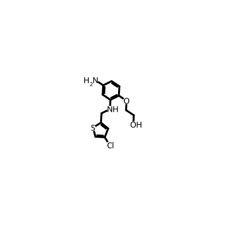 Nc1ccc(OCCO)c(NCc2cc(Cl)cs2)c1